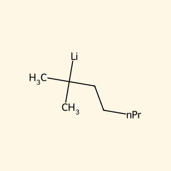 [Li][C](C)(C)CCCCC